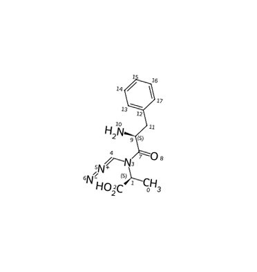 C[C@@H](C(=O)O)N(C=[N+]=[N-])C(=O)[C@@H](N)Cc1ccccc1